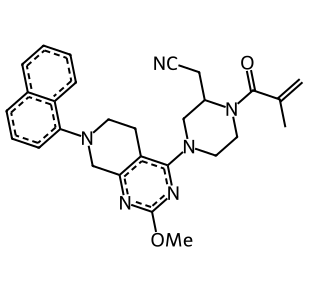 C=C(C)C(=O)N1CCN(c2nc(OC)nc3c2CCN(c2cccc4ccccc24)C3)CC1CC#N